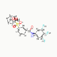 C[C@]1(O)C2CC1C[C@@H](S(=O)(=O)c1cccc(C(=O)Nc3cc(F)c(F)c(F)c3)c1)C2